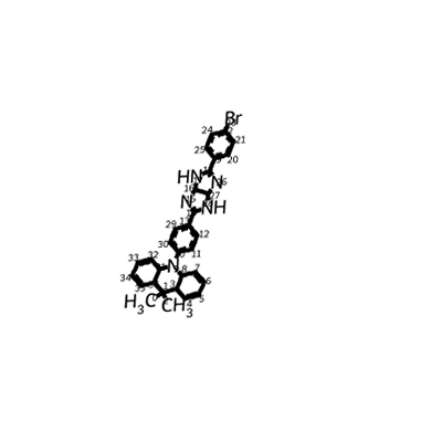 CC1(C)C2C=CC=CC2N(c2ccc(C3=NC4NC(c5ccc(Br)cc5)=NC4N3)cc2)C2C=CC=CC21